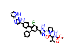 COC(=O)N[C@H](C(=O)N1CCC[C@H]1c1ncc(-c2cc(F)c(-c3ccc(-c4cnc([C@@H]5CCCN5)[nH]4)cc3)c(-c3ccccc3)c2)[nH]1)C(C)C